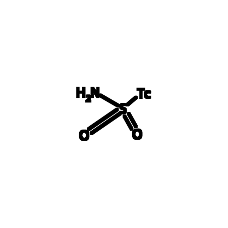 N[S](=O)(=O)[Tc]